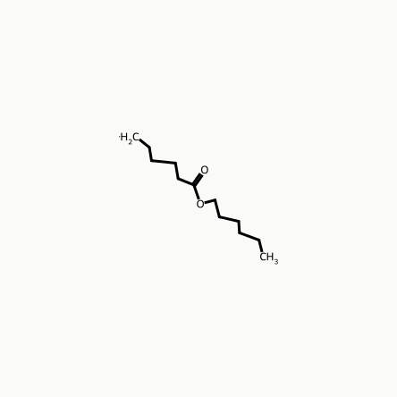 [CH2]CCCCC(=O)OCCCCCC